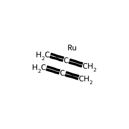 C=C=C.C=C=C.[Ru]